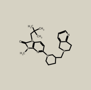 Cn1c(=O)n(CC(C)(C)C)c2ccc(N3CCCC(CN4CCc5ncccc5C4)C3)nc21